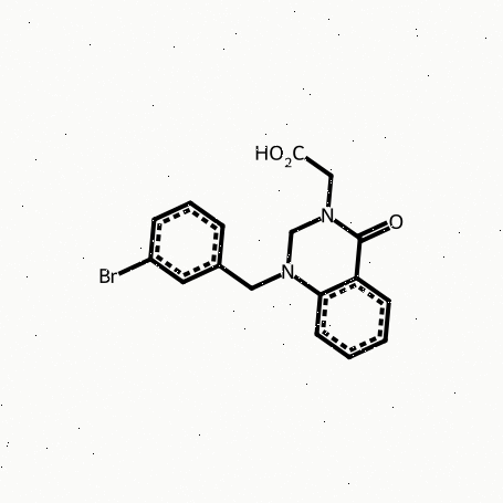 O=C(O)CN1CN(Cc2cccc(Br)c2)c2ccccc2C1=O